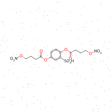 O=C(CCCO[N+](=O)[O-])Oc1ccc(OC(=O)CCCO[N+](=O)[O-])c(S(=O)(=O)O)c1